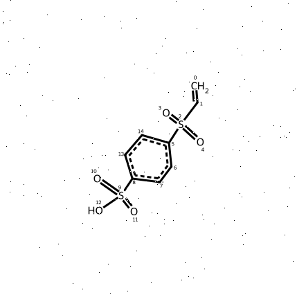 C=CS(=O)(=O)c1c[c]c(S(=O)(=O)O)cc1